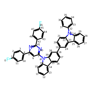 Fc1ccc(-c2cc(-n3c4ccccc4c4ccc(-c5ccc6c(c5)c5ccccc5n6-c5ccccc5)cc43)nc(-c3ccc(F)cc3)n2)cc1